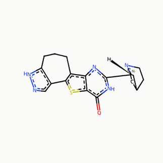 O=c1[nH]c([C@@H]2CC3CCN2CC3)nc2c3c(sc12)-c1cn[nH]c1CCC3